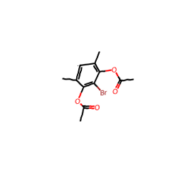 CC(=O)Oc1c(C)[c]c(C)c(OC(C)=O)c1Br